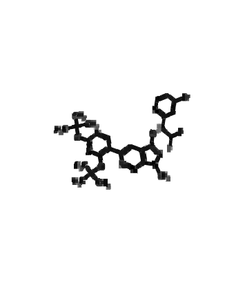 Cn1nc(O[C@H](c2cc(Br)ccn2)C(F)F)c2cc(-c3cnc(OC(C)(C)C)nc3OC(C)(C)C)nnc21